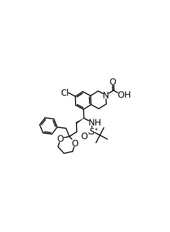 CC(C)(C)[S@+]([O-])N[C@@H](CCC1(Cc2ccccc2)OCCCO1)c1cc(Cl)cc2c1CCN(C(=O)O)C2